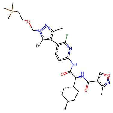 CCc1c(-c2ccc(NC(=O)[C@@H](NC(=O)c3conc3C)[C@H]3CC[C@H](C)CC3)nc2F)c(C)nn1COCCS(C)(C)C